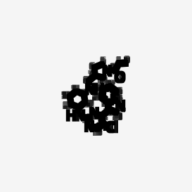 C=CC(=O)N1CCC(CN[C@H]2CCC[C@@H](Nc3ncc(Cl)c(-c4cnn5ccccc45)n3)C2)C1